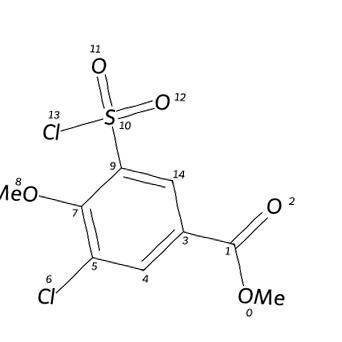 COC(=O)c1cc(Cl)c(OC)c(S(=O)(=O)Cl)c1